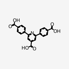 O=C(O)c1ccc(-c2cc(C(=O)O)cc(-c3ccc(C(=O)O)cc3)n2)cc1